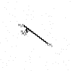 CC=CCC(C=CCCCCCCCCCCCCCCCCCC)=CC(C)(C)CC